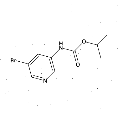 CC(C)OC(=O)Nc1cncc(Br)c1